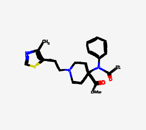 CCC(=O)N(c1ccccc1)C1(C(=O)OC)CCN(CCc2scnc2C)CC1